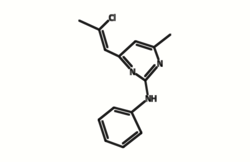 CC(Cl)=Cc1cc(C)nc(Nc2ccccc2)n1